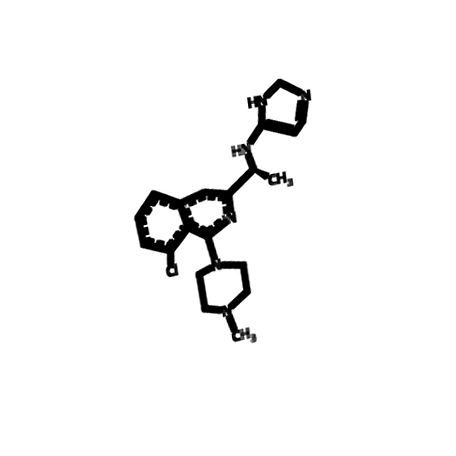 C[C@H](NC1=CC=NCN1)c1cc2cccc(Cl)c2c(N2CCN(C)CC2)n1